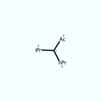 CCCC(C(C)=O)C(C)C